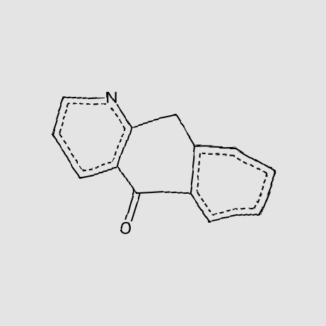 O=C1c2ccccc2Cc2ncccc21